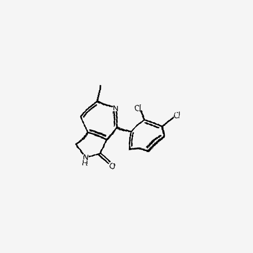 Cc1cc2c(c(-c3cccc(Cl)c3Cl)n1)C(=O)NC2